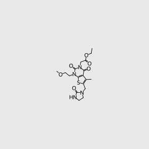 CCOC(=O)Cn1c(=O)c2c(C)c(CN3CCNC3=O)sc2n(CCOC)c1=O